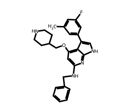 Cc1cc(F)cc(-c2c[nH]c3nc(NCc4ccccc4)cc(OCC4CCNCC4)c23)c1